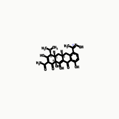 C/C(=N/O)c1ccc(O)c2c1C[C@H]1C[C@H]3[C@H](N(C)C)C(O)=C(C(N)=O)C(=O)[C@@]3(O)C(O)=C1C2=O